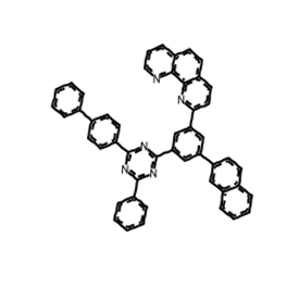 c1ccc(-c2ccc(-c3nc(-c4ccccc4)nc(-c4cc(-c5ccc6ccccc6c5)cc(-c5ccc6ccc7cccnc7c6n5)c4)n3)cc2)cc1